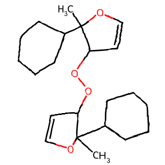 CC1(C2CCCCC2)OC=CC1OOC1C=COC1(C)C1CCCCC1